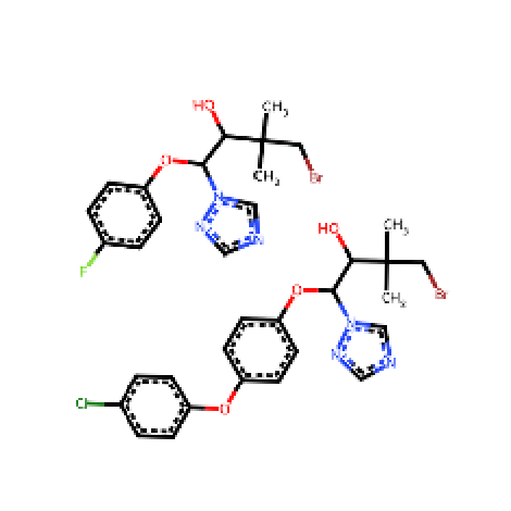 CC(C)(CBr)C(O)C(Oc1ccc(F)cc1)n1cncn1.CC(C)(CBr)C(O)C(Oc1ccc(Oc2ccc(Cl)cc2)cc1)n1cncn1